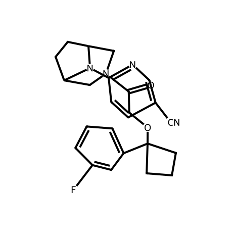 N#Cc1ccc(N2C3CCC2CN(C(=O)COC2(c4cccc(F)c4)CCC2)C3)nc1